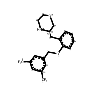 FC(F)(F)c1cc(COc2ccccc2C[C@@H]2COCCN2)cc(C(F)(F)F)c1